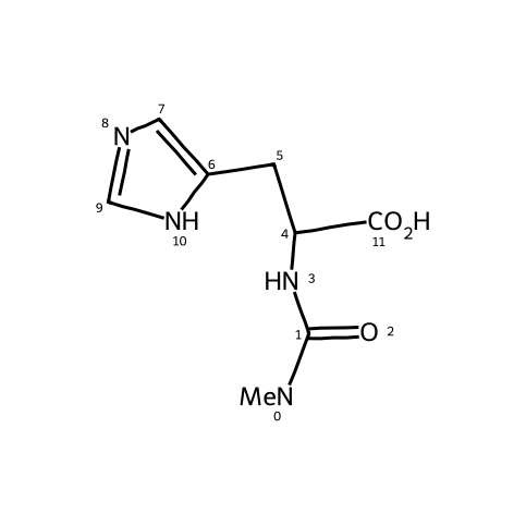 CNC(=O)NC(Cc1cnc[nH]1)C(=O)O